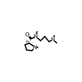 CN(C)CCCN(C)C(=O)[C@H]1CCCN1C